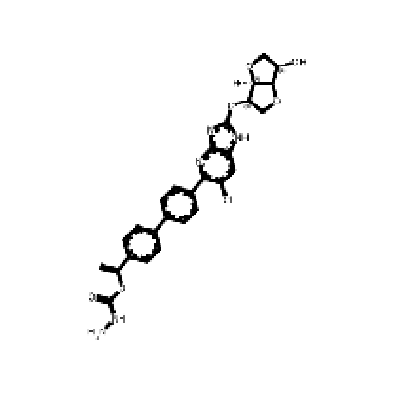 C=C(OC(=O)NN)c1ccc(-c2ccc(-c3nc4nc(O[C@@H]5COC6[C@H](O)CO[C@@H]65)[nH]c4cc3Cl)cc2)cc1